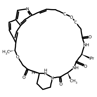 CC(C)[C@@H]1NC(=O)CCOCC/C=C/c2cc3cc(ccc3cn2)[C@@H](C)OCC(=O)[C@@H]2CCCN(N2)C(=O)[C@H](C)NC1=O